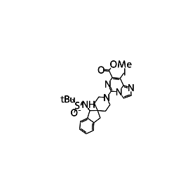 COC(=O)c1nc(N2CCC3(CC2)Cc2ccccc2[C@H]3N[S+]([O-])C(C)(C)C)n2ccnc2c1I